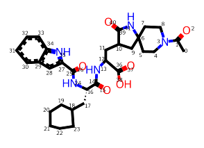 CC(=O)N1CCC2(CC1)CC(CC(NC(=O)[C@H](CC1CCCCC1)NC(=O)c1cc3ccccc3[nH]1)C(=O)O)C(=O)N2